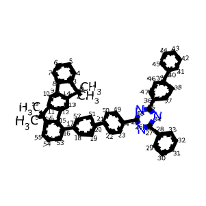 CC1(C)c2ccccc2-c2cc3c(cc21)-c1c(-c2ccc(-c4ccc(-c5nc(-c6ccccc6)nc(-c6ccc(-c7ccccc7)cc6)n5)cc4)cc2)cccc1C3(C)C